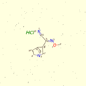 CO/N=C(/C#N)C1CN2CCC1C2.Cl